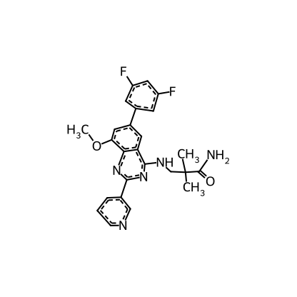 COc1cc(-c2cc(F)cc(F)c2)cc2c(NCC(C)(C)C(N)=O)nc(-c3cccnc3)nc12